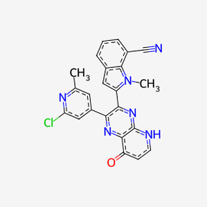 Cc1cc(-c2nc3c(=O)cc[nH]c3nc2-c2cc3cccc(C#N)c3n2C)cc(Cl)n1